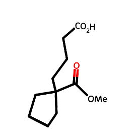 COC(=O)C1(CCCC(=O)O)CCCC1